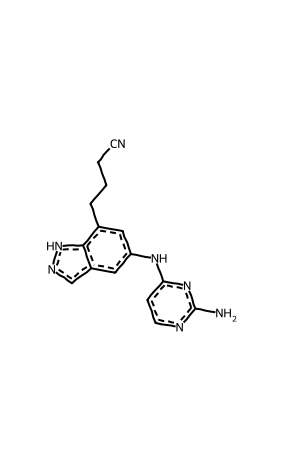 N#CCCCc1cc(Nc2ccnc(N)n2)cc2cn[nH]c12